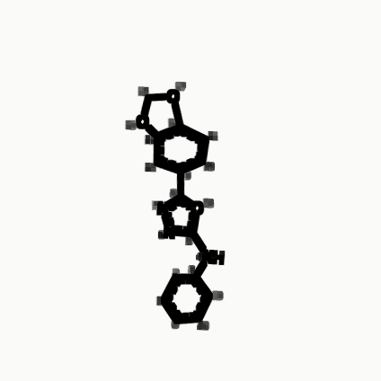 c1ccc(Nc2nnc(-c3ccc4c(c3)OCO4)o2)cc1